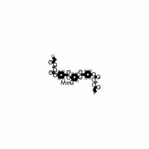 C=CC(=O)OCOC(=O)Oc1ccc(C(=O)Oc2ccc(OC(=O)c3ccc(OC(=O)OCOC(=O)C=C)cc3)c(OC)c2)cc1